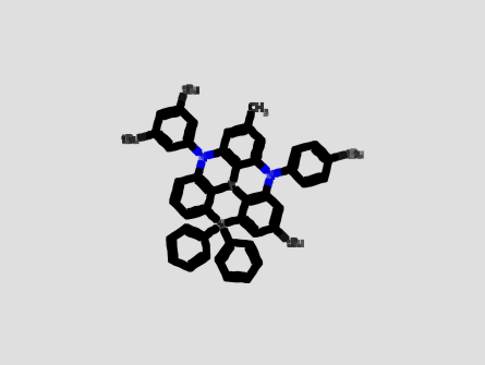 Cc1cc2c3c(c1)N(c1ccc(C(C)(C)C)cc1)c1cc(C(C)(C)C)cc4c1B3c1c(cccc1[Si]4(c1ccccc1)c1ccccc1)N2c1cc(C(C)(C)C)cc(C(C)(C)C)c1